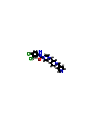 O=C(Nc1ccc(Cl)c(Cl)c1)N1CCN(C[C@@H]2CCCN(Cc3ccncc3)C2)CC1